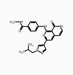 CNC(=O)c1ccc(Nc2nc(-c3cnn(CC(C)C)c3)cc3cc[nH]c(=O)c23)cc1